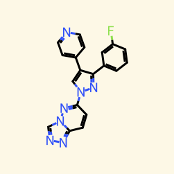 Fc1cccc(-c2nn(-c3ccc4nncn4n3)cc2-c2ccncc2)c1